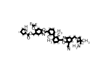 Cc1c(-c2nc3cc(COC(=O)[C@@H]4CCCN4)c(OC(F)F)cc3o2)cccc1-c1cccc(-c2nc3cc(CN4CC(C)(CN)C4)cc(C#N)c3o2)c1C